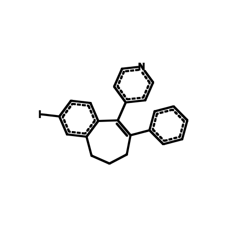 Ic1ccc2c(c1)CCCC(c1ccccc1)=C2c1ccncc1